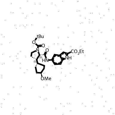 CCOC(=O)c1cc2cc(NC(=O)[C@@H]3[C@H]([C@H]4CC[C@H](OC)CC4)CCN3C(=O)OC(C)(C)C)ccc2[nH]1